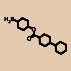 BC1CCC(OC(=O)C2CCC(C3CCCCC3)CC2)CC1